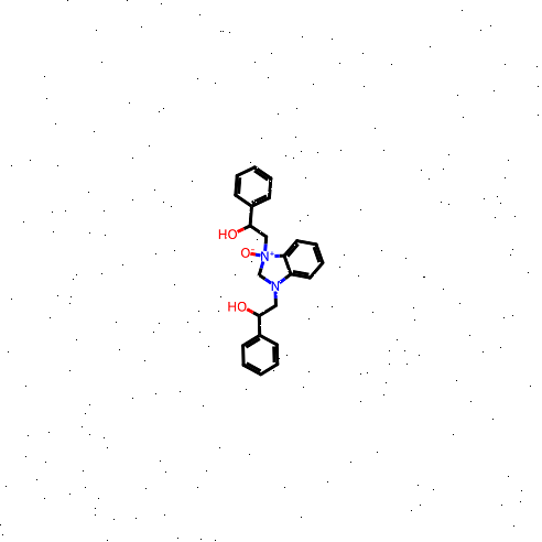 [O-][N+]1(CC(O)c2ccccc2)CN(CC(O)c2ccccc2)c2ccccc21